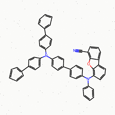 N#Cc1cccc2c1oc1c(N(c3ccccc3)c3ccc(-c4ccc(N(c5ccc(-c6ccccc6)cc5)c5ccc(-c6ccccc6)cc5)cc4)cc3)cccc12